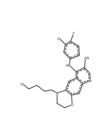 N#Cc1cnc2cc3c(cc2c1Nc1ccc(F)c(Cl)c1)N(CCCCCl)CCO3